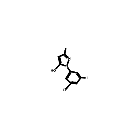 Cc1cc(O)n(-c2cc(Cl)cc(Cl)c2)n1